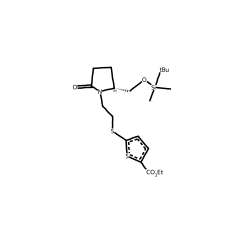 CCOC(=O)c1ccc(SCCN2C(=O)CC[C@@H]2CO[Si](C)(C)C(C)(C)C)s1